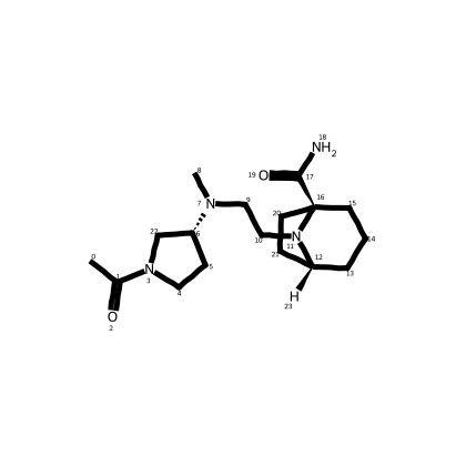 CC(=O)N1CC[C@@H](N(C)CCN2[C@@H]3C[CH]C[C@@]2(C(N)=O)CC3)C1